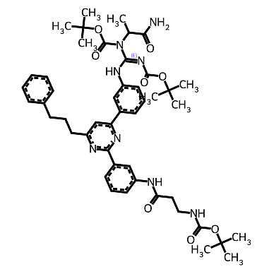 CC(C(N)=O)N(C(=O)OC(C)(C)C)/C(=N/C(=O)OC(C)(C)C)Nc1cccc(-c2cc(CCCc3ccccc3)nc(-c3cccc(NC(=O)CCNC(=O)OC(C)(C)C)c3)n2)c1